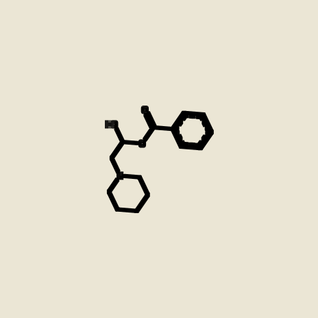 O=C(OC(O)CN1CCCCC1)c1ccccc1